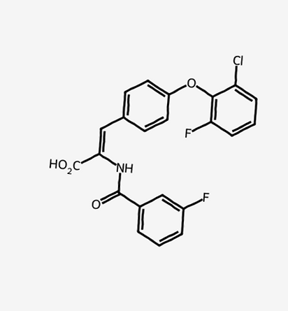 O=C(O)/C(=C/c1ccc(Oc2c(F)cccc2Cl)cc1)NC(=O)c1cccc(F)c1